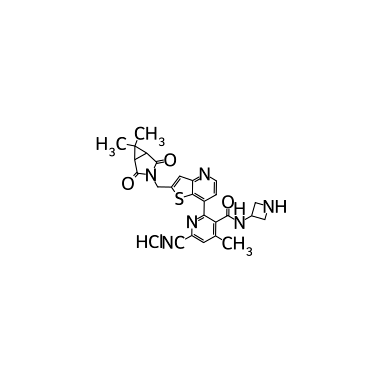 Cc1cc(C#N)nc(-c2ccnc3cc(CN4C(=O)C5C(C4=O)C5(C)C)sc23)c1C(=O)NC1CNC1.Cl